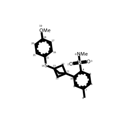 CNS(=O)(=O)c1ccc(C)cc1C12CC(Sc3ccc(OC)cc3)(C1)C2